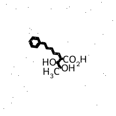 CC(O)C(O)C(CCCCCc1ccccc1)C(=O)O